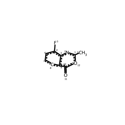 Cc1nc2c(F)cccc2c(=O)o1